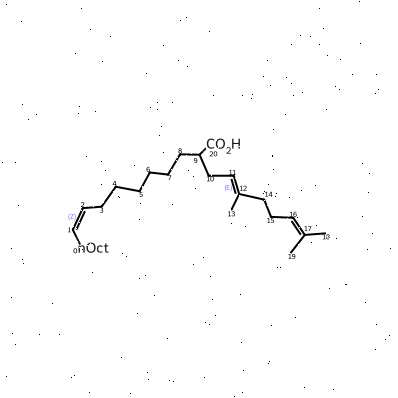 CCCCCCCC/C=C\CCCCCCC(C/C=C(\C)CCC=C(C)C)C(=O)O